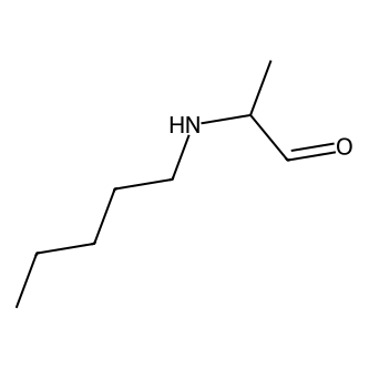 CCCCCNC(C)C=O